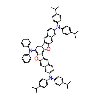 CC(C)c1ccc(N(c2ccc(C(C)C)cc2)c2ccc3cc4c(cc3c2)oc2c4cc(N(c3ccccc3)c3ccccc3)c3oc4cc5cc(N(c6ccc(C(C)C)cc6)c6ccc(C(C)C)cc6)ccc5cc4c32)cc1